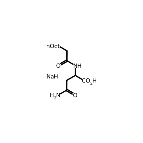 CCCCCCCCCC(=O)NC(CC(N)=O)C(=O)O.[NaH]